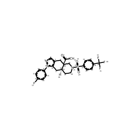 CC(=O)[C@]12Cc3cnn(-c4ccc(F)cc4)c3C[C@@H]1CCN(S(=O)(=O)c1ccc(C(F)(F)F)cc1)C2